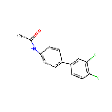 CCCC(=O)Nc1ccc(-c2ccc(Cl)c(Cl)c2)cc1